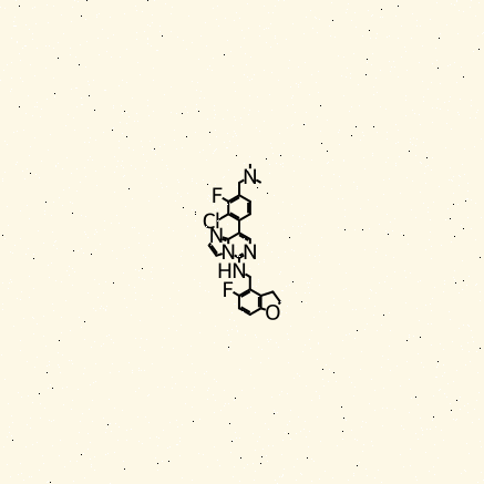 CN(C)Cc1ccc(-c2cnc(NCc3c(F)ccc4c3CCO4)n3ccnc23)c(Cl)c1F